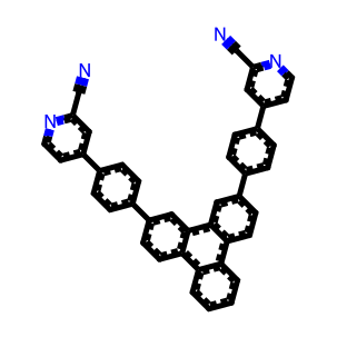 N#Cc1cc(-c2ccc(-c3ccc4c5ccccc5c5ccc(-c6ccc(-c7ccnc(C#N)c7)cc6)cc5c4c3)cc2)ccn1